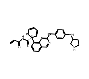 C=CC(=O)NC(=O)[C@@]1(c2cccc3cnc(Nc4ccc(NC5CCNC5)nc4)nc23)C=CC=CN1